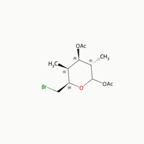 CC(=O)OC1O[C@@H](CBr)[C@@H](C)[C@@H](OC(C)=O)[C@@H]1C